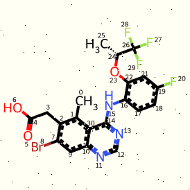 Cc1c(CC(=O)O)c(Br)cc2ncnc(Nc3ccc(F)cc3O[C@H](C)C(F)(F)F)c12